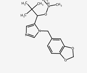 C[SiH](C)OC(c1cncn1Cc1ccc2c(c1)OCO2)C(C)(C)C